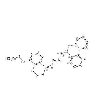 O=C(O)COc1cccc2c1CCC/C2=C/CONC(Cc1cccnc1)c1ccccc1